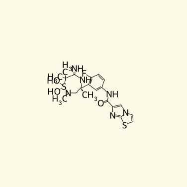 CN1C[C@@](C)(c2cc(NC(=O)c3cn4ccsc4n3)ccc2F)NC(=N)C(C)(C)S1(O)O